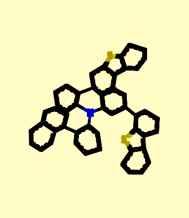 c1cc(-c2cccc3c2sc2ccccc23)cc(N(c2ccccc2-c2ccc3c(c2)sc2ccccc23)c2ccccc2-c2cccc3ccccc23)c1